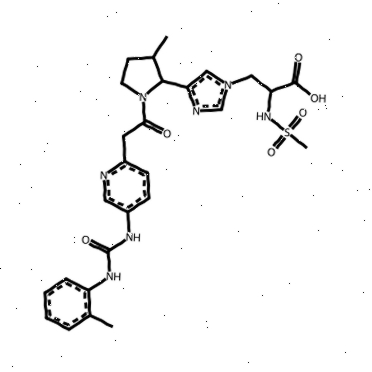 Cc1ccccc1NC(=O)Nc1ccc(CC(=O)N2CCC(C)C2c2cn(CC(NS(C)(=O)=O)C(=O)O)cn2)nc1